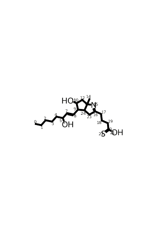 CCCCCC(O)C=CC1C(O)CC2(C)N=C(CCCC(O)=S)CC12